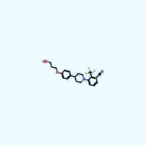 N#Cc1cccc(N2CCC(c3ccc(OCCCO)cc3)CC2)c1C(F)(F)F